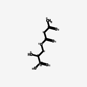 CC(=O)CC(=O)OCC(O)[N+](=O)[O-]